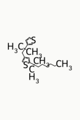 CCCCCCC(C)(C)c1cc(CC(C)(C)c2ccsc2)cs1